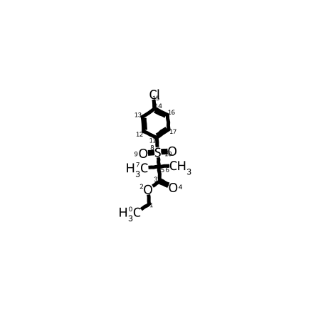 CCOC(=O)C(C)(C)S(=O)(=O)c1ccc(Cl)cc1